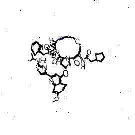 COc1ccc2c(O[C@@H]3C[C@H]4C(=O)N[C@]5(P(=O)(O)Cc6ccccc6)C[C@H]5/C=C\CCCCC[C@H](NC(=O)CC5CCCC5)C(=O)N4C3)cc(-c3csc(NC(C)C)n3)nc2c1